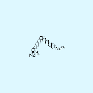 [Cl-].[Cl-].[Cl-].[Cl-].[Cl-].[Cl-].[Cl-].[Cl-].[Cl-].[Nd+3].[Nd+3].[Pr+3]